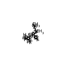 COC(=O)CCCN(C)CC1CCC(O[C@H](C)c2cc(C(F)(F)F)cc(C(F)(F)F)c2)C1c1ccc(F)cc1